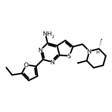 CCc1ccc(-c2nc(N)c3cc(CN4C(C)CCC[C@H]4C)sc3n2)o1